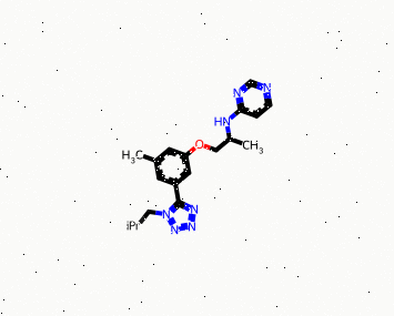 Cc1cc(OCC(C)Nc2ccncn2)cc(-c2nnnn2CC(C)C)c1